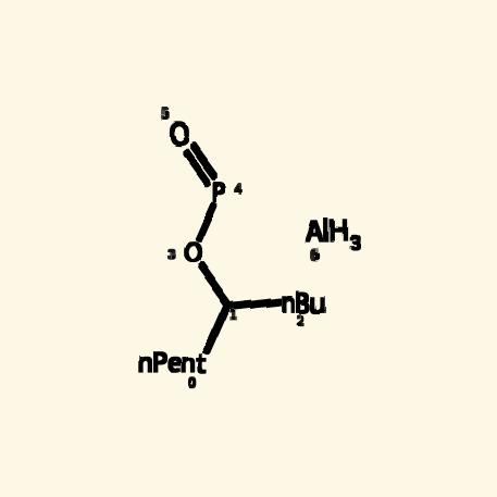 CCCCCC(CCCC)OP=O.[AlH3]